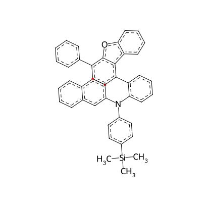 C[Si](C)(C)c1ccc(N(c2ccc3ccccc3c2)c2ccccc2-c2ccc(-c3ccccc3)c3oc4ccccc4c23)cc1